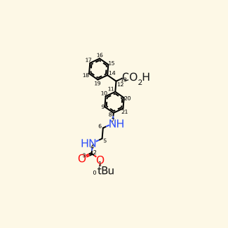 CC(C)(C)OC(=O)NCCNc1ccc(C(C(=O)O)c2ccccc2)cc1